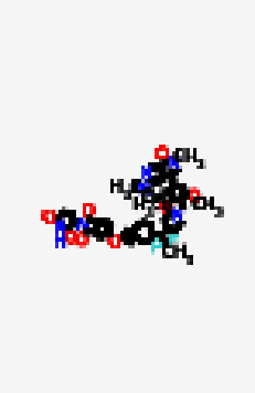 COc1cc(-c2cn(C)c(=O)c3cnc(N(C)C)cc23)cc(OC)c1CN1CCC(C(C2=CCCC3(CC2)CC(Oc2ccc4c(c2)C(=O)N(C2CCC(=O)NC2=O)C4=O)C3)C(C)(F)F)CC1